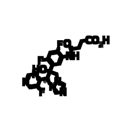 C[C@@H](c1ncncc1F)C(O)(Cn1cncn1)c1cc(NC(=O)CCC(=O)O)c(F)cc1F